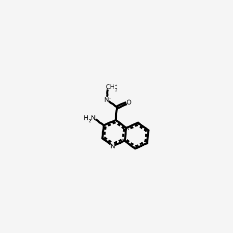 [CH2+][N-]C(=O)c1c(N)cnc2ccccc12